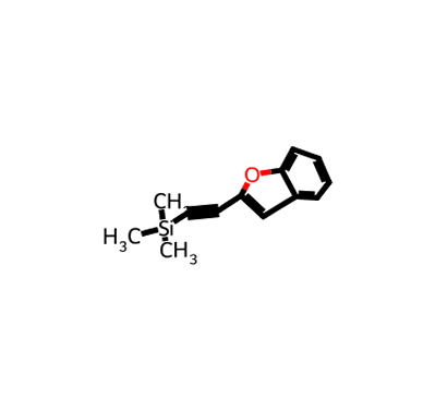 C[Si](C)(C)C#Cc1cc2ccccc2o1